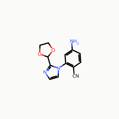 N#Cc1ccc(N)cc1-n1ccnc1C1OCCO1